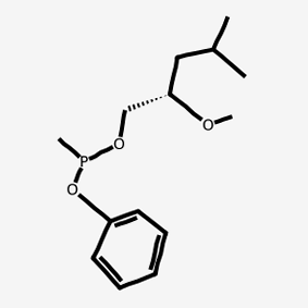 CO[C@H](COP(C)Oc1ccccc1)CC(C)C